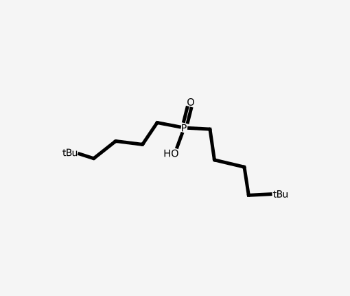 CC(C)(C)CCCCP(=O)(O)CCCCC(C)(C)C